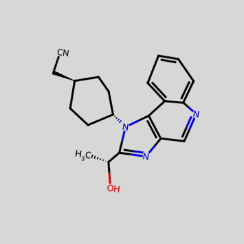 C[C@@H](O)c1nc2cnc3ccccc3c2n1[C@H]1CC[C@H](CC#N)CC1